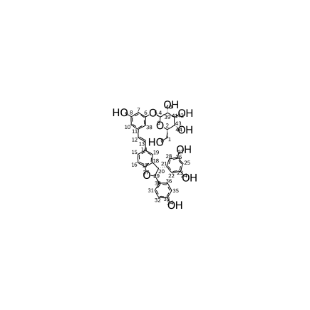 OC[C@H]1O[C@@H](Oc2cc(O)cc(/C=C/c3ccc4c(c3)[C@H](c3cc(O)cc(O)c3)[C@@H](c3ccc(O)cc3)O4)c2)[C@H](O)[C@@H](O)[C@@H]1O